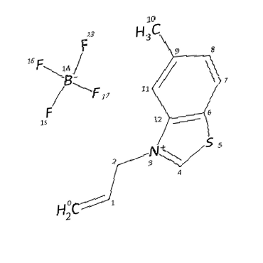 C=CC[n+]1csc2ccc(C)cc21.F[B-](F)(F)F